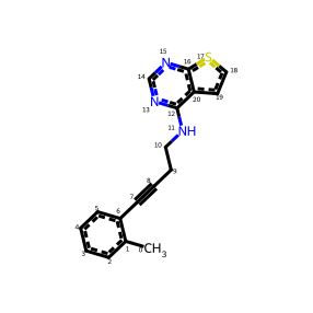 Cc1ccccc1C#CCCNc1ncnc2sccc12